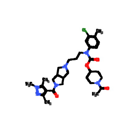 CC(=O)N1CCC(OC(=O)N(CCCN2CC3CN(C(=O)c4c(C)nn(C)c4C)CC3C2)c2ccc(C)c(Cl)c2)CC1